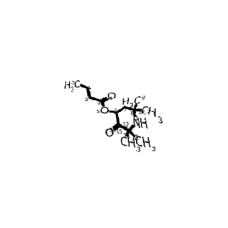 CCCC(=O)OC1CC(C)(C)NC(C)(C)C1=O